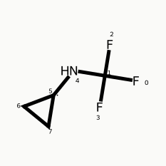 FC(F)(F)N[C]1CC1